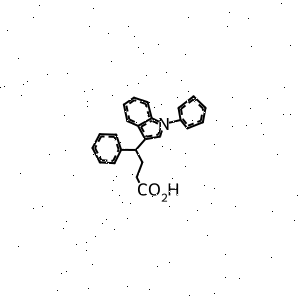 O=C(O)CCC(c1ccccc1)c1cn(-c2ccccc2)c2ccccc12